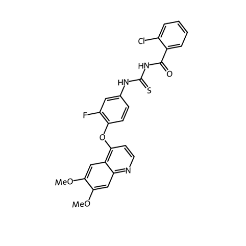 COc1cc2nccc(Oc3ccc(NC(=S)NC(=O)c4ccccc4Cl)cc3F)c2cc1OC